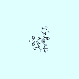 CC1(C)CC(=O)c2c(S(C)(=O)=O)sc(C(=O)N3CCCC3)c2C1